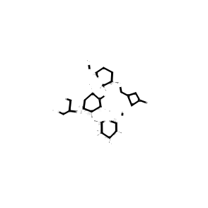 NC[C@@H]1CC[C@@H](NCC2CC(N)C2)[C@@H](OC2[C@@H](N)C[C@@H](NC(CO)CO)[C@H](O[C@H]3O[C@H](CO)[C@@H](O)[C@H](N)[C@H]3O)[C@H]2O)O1